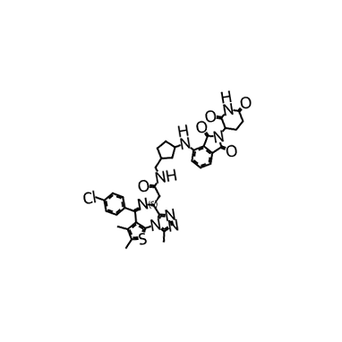 Cc1sc2c(c1C)C(c1ccc(Cl)cc1)=N[C@@H](CC(=O)NCC1CCC(Nc3cccc4c3C(=O)N(C3CCC(=O)NC3=O)C4=O)C1)c1nnc(C)n1-2